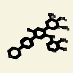 C[C@@H]1CN(c2cc(F)c(-c3ccc(N4CCOCC4)cc3)cc2Nc2ncnc(Cl)c2N)C[C@H](C)N1C